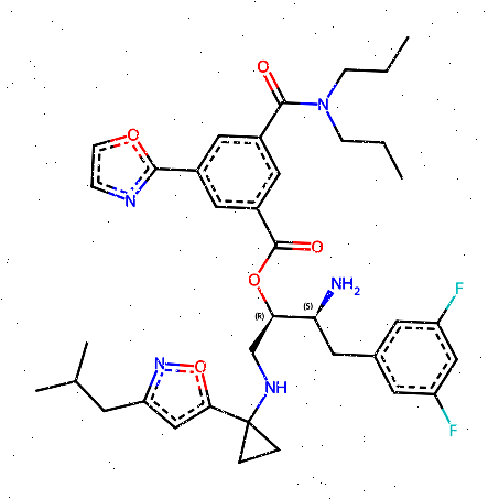 CCCN(CCC)C(=O)c1cc(C(=O)O[C@H](CNC2(c3cc(CC(C)C)no3)CC2)[C@@H](N)Cc2cc(F)cc(F)c2)cc(-c2ncco2)c1